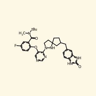 CN(C(=O)c1cc(F)ccc1Oc1cncnc1N1CCC2(CCC(Cc3ccc4[nH]c(=O)[nH]c4c3)C2)N1)C(C)(C)C